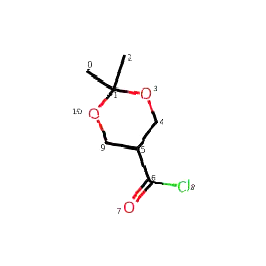 CC1(C)OCC(C(=O)Cl)CO1